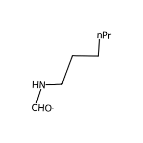 [CH2]CCCCCN[C]=O